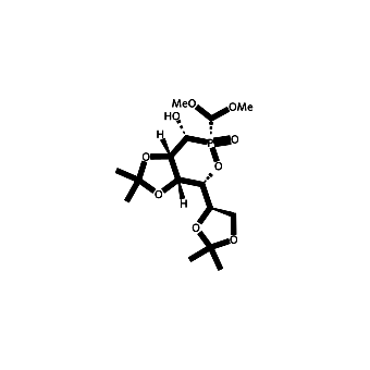 COC(OC)[P@]1(=O)O[C@H]([C@H]2COC(C)(C)O2)[C@@H]2OC(C)(C)O[C@@H]2[C@@H]1O